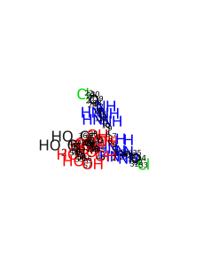 CCO.N=C(NCCCCCCNC(=N)NC(=N)Nc1ccc(Cl)cc1)NC(=N)Nc1ccc(Cl)cc1.O=C(O)[C@H](O)[C@@H](O)[C@H](O)[C@H](O)CO.O=C(O)[C@H](O)[C@@H](O)[C@H](O)[C@H](O)CO